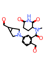 CN(C(=O)c1cc(N2CC3C(C=O)C3C2)ccc1C=O)C1CCC(=O)NC1=O